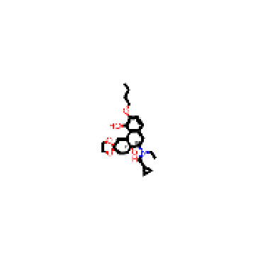 CCCCOc1ccc2c(c1O)C1CC3(CC[C@@]1(O)[C@H](N(CC)CC1CC1)C2)OCCO3